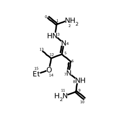 C=C(N)N/N=C(/C=N/NC(=C)N)C(C)OCC